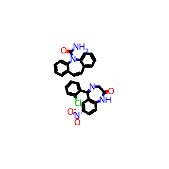 NC(=O)N1c2ccccc2C=Cc2ccccc21.O=C1CN=C(c2ccccc2Cl)c2cc([N+](=O)[O-])ccc2N1